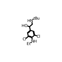 CCNc1c(Cl)cc(C(O)CNC(C)(C)C)cc1Cl